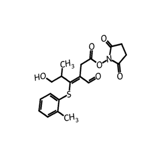 Cc1ccccc1S/C(=C(\C=O)CC(=O)ON1C(=O)CCC1=O)C(C)CO